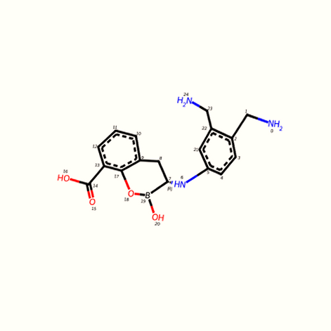 NCc1ccc(N[C@H]2Cc3cccc(C(=O)O)c3OB2O)cc1CN